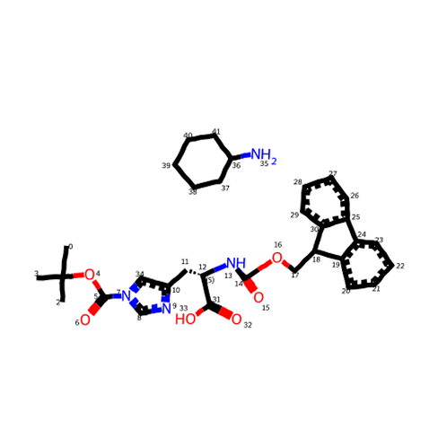 CC(C)(C)OC(=O)n1cnc(C[C@H](NC(=O)OCC2c3ccccc3-c3ccccc32)C(=O)O)c1.NC1CCCCC1